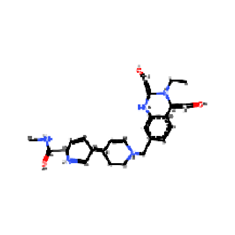 CCN1C(=C=O)Nc2cc(CN3C=CC(=C4C=CC(C(=O)NC)N=C4)CC3)ccc2C1=C=O